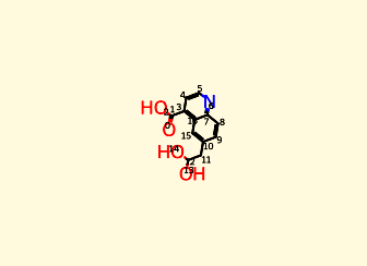 O=C(O)c1ccnc2ccc(CC(O)O)cc12